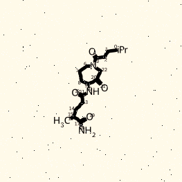 CC(C)CCC(=O)N1CCC[C@H](NC(=O)[CH]CC(C)C(N)=O)C(=O)C1